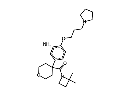 CC1(C)CCN1C(=O)C1(c2ccc(OCCCN3CCCC3)cc2)CCOCC1.N